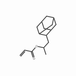 C=CC(=O)OC(C)CC1C2CC3CC(C2)CC1C3